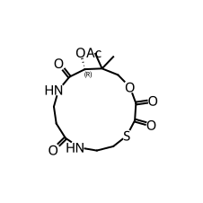 CC(=O)O[C@H]1C(=O)NCCC(=O)NCCSC(=O)C(=O)OCC1(C)C